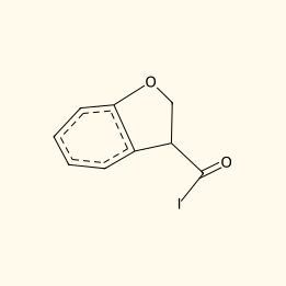 O=C(I)C1COc2ccccc21